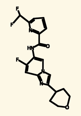 O=C(Nc1cn2cc(C3CCOCC3)nc2cc1F)c1cccc(C(F)F)n1